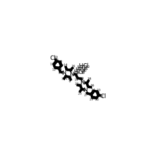 CC1C(C)N(Cc2ccc(Cl)cc2)C(C)C(C)N1CCCN1C(C)C(C)N(Cc2ccc(Cl)cc2)C(C)C1C.Cl.Cl.Cl.Cl